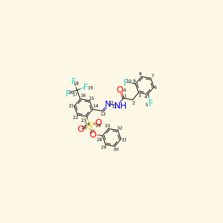 O=C(Cc1c(F)cccc1F)N/N=C/c1cc(C(F)(F)F)ccc1S(=O)(=O)Oc1ccccc1